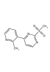 Cc1ncccc1-c1ccnc(S(C)(=O)=O)n1